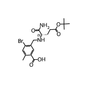 Cc1cc(Br)c(CN[C@@H](CCC(=O)OC(C)(C)C)C(N)=O)cc1C(=O)O